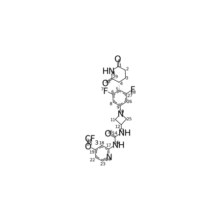 O=C1CC[C@H](c2c(F)cc(N3CC(NC(=O)Nc4cc(OC(F)(F)F)ccn4)C3)cc2F)C(=O)N1